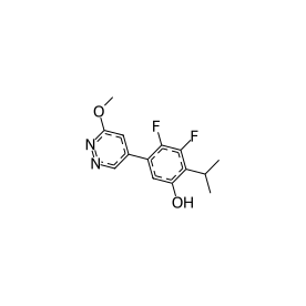 COc1cc(-c2cc(O)c(C(C)C)c(F)c2F)cnn1